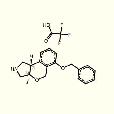 C[C@]12CNC[C@@H]1c1cccc(OCc3ccccc3)c1CO2.O=C(O)C(F)(F)F